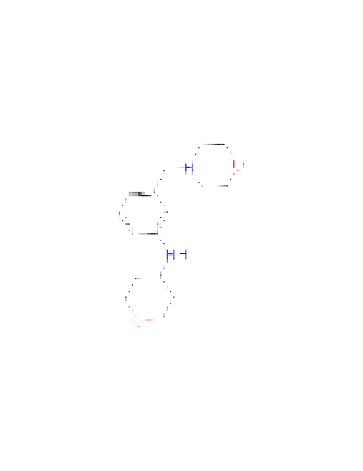 [c]1ccc(CN2CCOCC2)cc1NC1CCOCC1